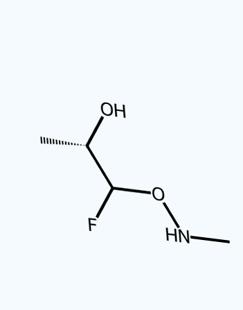 CNOC(F)[C@H](C)O